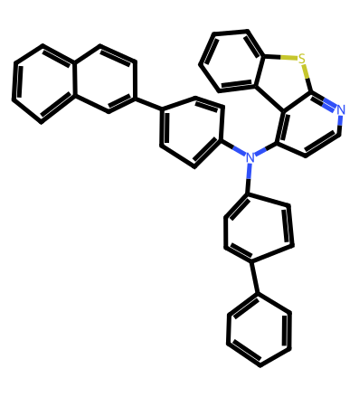 c1ccc(-c2ccc(N(c3ccc(-c4ccc5ccccc5c4)cc3)c3ccnc4sc5ccccc5c34)cc2)cc1